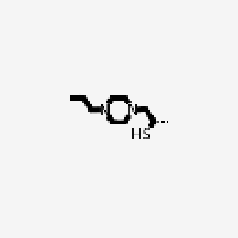 CCCN1CCN(C[C@H](C)S)CC1